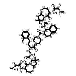 CN[C@@H](C)C(=O)N[C@H]1CCSC2CC(C)(C)[C@@H](C(=O)NC[C@@H](CCc3ccccc3C)C(=O)N3CCN(C(=O)[C@@H]4CCc5ccccc5[C@H]4NC(=O)[C@H]4N5C(=O)[C@@H](NC(=O)[C@H](C)NC)CCSC5CC4(C)C)CC3)N2C1=O